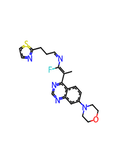 C/C(=C(F)\N=C/CCc1nccs1)c1ncnc2cc(N3CCOCC3)ccc12